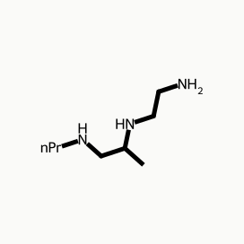 [CH2]CCNCC(C)NCCN